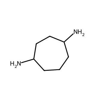 NC1CCCC(N)CC1